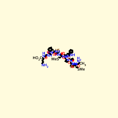 CSCC[C@H](NC(=O)[C@H](C)N)C(=O)N[C@@H](CS)C(=O)N1CCC[C@H]1C(=O)N1CCC[C@H]1C(=O)N[C@@H](Cc1c[nH]c2ccccc12)C(=O)N[C@@H](CCSC)C(=O)N[C@@H](CS)C(=O)N[C@@H](Cc1ccccc1)C(=O)NCC(=O)NCC(=O)N[C@@H](CCCCN)C(=O)O